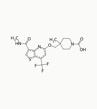 CNC(=O)c1csc2c(C(F)(F)F)cc(OCC3(C)CCN(C(=O)O)CC3)nc12